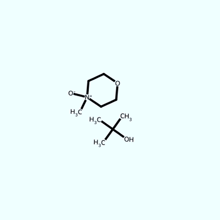 CC(C)(C)O.C[N+]1([O-])CCOCC1